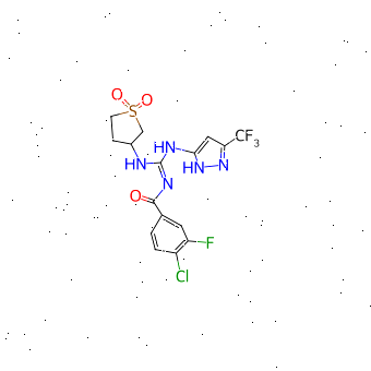 O=C(/N=C(/Nc1cc(C(F)(F)F)n[nH]1)NC1CCS(=O)(=O)C1)c1ccc(Cl)c(F)c1